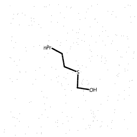 CCCCCSCO